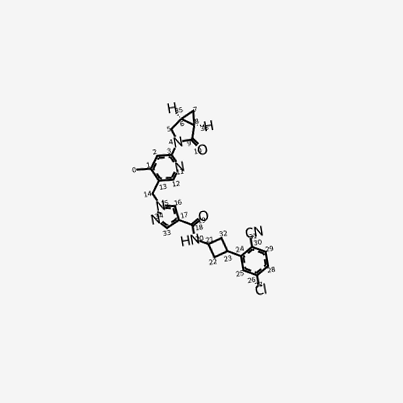 Cc1cc(N2C[C@H]3C[C@H]3C2=O)ncc1Cn1cc(C(=O)NC2CC(c3cc(Cl)ccc3C#N)C2)cn1